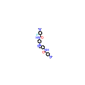 CN(C)c1ccc(C(=O)Nc2ccc3c(cnn3-c3ccc(NC(=O)c4ccc(N(C)C)cc4F)cc3)c2)cc1